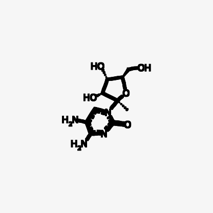 C[C@@]1(n2cc(N)c(N)nc2=O)O[C@H](CO)[C@@H](O)[C@H]1O